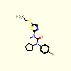 CN(C(=O)N(c1ccc(Br)cc1)C1CCCC1)c1ncc(SCC(=O)O)s1